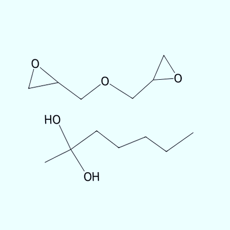 C(OCC1CO1)C1CO1.CCCCCC(C)(O)O